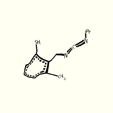 Cc1cccc(S)c1CN=C=NC(C)C